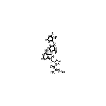 CC(C)(C)C=C(C#N)C(=O)N1CCC[C@@H]1Cn1nc(-c2ccc(Oc3cccc(F)c3F)cc2F)c2c(N)ncnc21